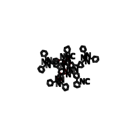 [C-]#[N+]c1ccc(-c2nc(-c3ccccc3)nc(-c3cc(-c4ccccc4[N+]#[C-])ccc3-n3c4ccc(-c5nc(-c6ccccc6)nc(-c6ccccc6)n5)cc4c4cc(-c5nc(-c6ccccc6)nc(-c6ccccc6)n5)ccc43)n2)c(-n2c3ccc(-c4nc(-c5ccccc5)nc(-c5ccccc5)n4)cc3c3cc(-c4nc(-c5ccccc5)nc(-c5ccccc5)n4)ccc32)c1